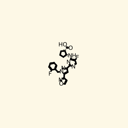 O=C(O)[C@H]1CCC[C@H]1Nc1nc(-c2cc(-c3ccon3)n(Cc3ccccc3F)n2)ncc1F